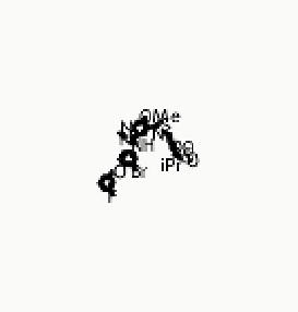 COc1cc2ncnc(Nc3ccc(OCc4cccc(F)c4)c(Br)c3)c2cc1-c1csc(CCOCC(C(C)C)=S(=O)=O)n1